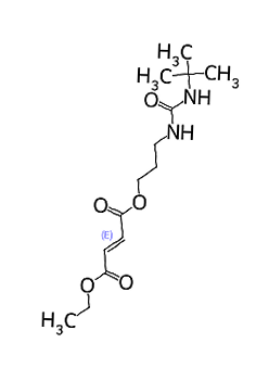 CCOC(=O)/C=C/C(=O)OCCCNC(=O)NC(C)(C)C